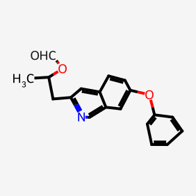 CC(Cc1cc2ccc(Oc3ccccc3)cc2cn1)OC=O